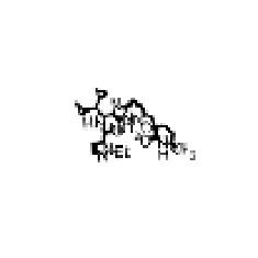 CCn1nccc1C(=O)NC(c1cn2nc(CC3(C(=O)O)CCC(C(F)(F)F)NC3=O)ccc2n1)C(C1CC1)C1CC1